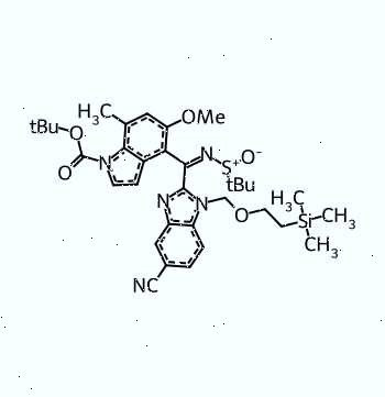 COc1cc(C)c2c(ccn2C(=O)OC(C)(C)C)c1C(=N[S+]([O-])C(C)(C)C)c1nc2cc(C#N)ccc2n1COCC[Si](C)(C)C